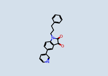 O=C1C(=O)N(CCCc2ccccc2)c2ccc(-c3cccnc3)cc21